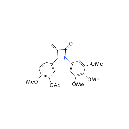 C=C1C(=O)N(c2cc(OC)c(OC)c(OC)c2)C1c1ccc(OC)c(OC(C)=O)c1